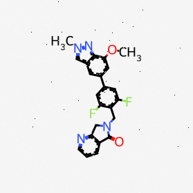 COc1cc(-c2cc(F)c(CN3Cc4ncccc4C3=O)c(F)c2)cc2cn(C)nc12